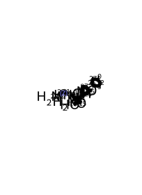 C[C@H]1CC[C@H](Oc2ccnc(C[C@](O)(C(=O)O)[C@@H](N)CN/C=C\CN)c2)CC1